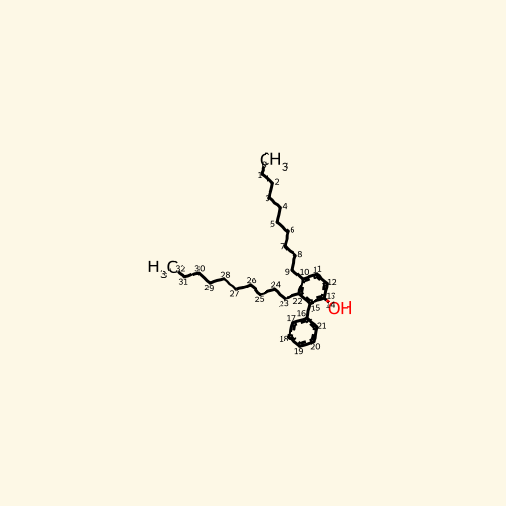 CCCCCCCCCCc1ccc(O)c(-c2ccccc2)c1CCCCCCCCCC